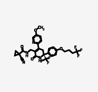 COc1ccc(C2=C(CNC(=O)C3(C#N)CC3)C(=O)N[C@@](c3ccc(OCCCC(F)(F)F)cc3)(C(F)(F)F)C2)nc1